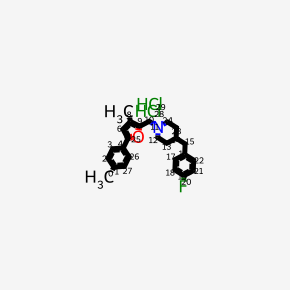 Cc1ccc(-c2cc(C)c(CN3CCC(Cc4ccc(F)cc4)CC3)o2)cc1.Cl.Cl